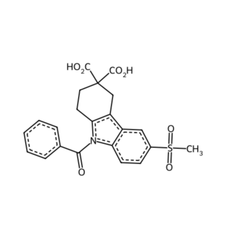 CS(=O)(=O)c1ccc2c(c1)c1c(n2C(=O)c2ccccc2)CCC(C(=O)O)(C(=O)O)C1